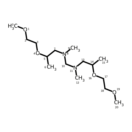 COCCOC(C)CN(C)CN(C)CC(C)OCCOC